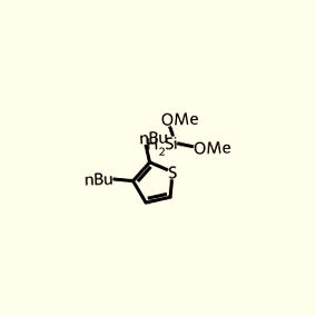 CCCCc1ccsc1CCCC.CO[SiH2]OC